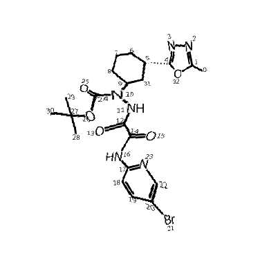 Cc1nnc([C@H]2CCCC(N(NC(=O)C(=O)Nc3ccc(Br)cn3)C(=O)OC(C)(C)C)C2)o1